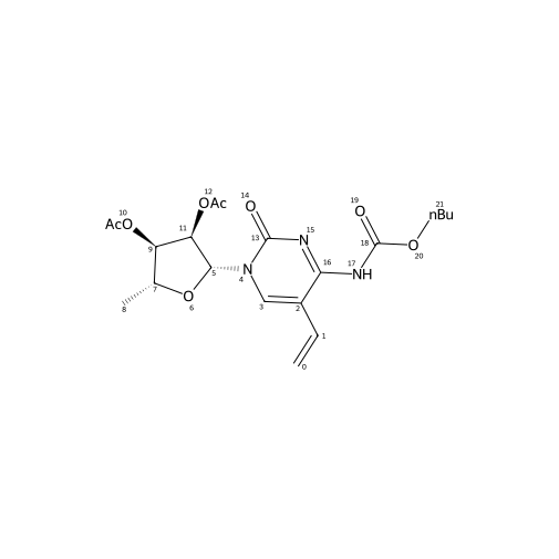 C=Cc1cn([C@@H]2O[C@H](C)[C@@H](OC(C)=O)[C@H]2OC(C)=O)c(=O)nc1NC(=O)OCCCC